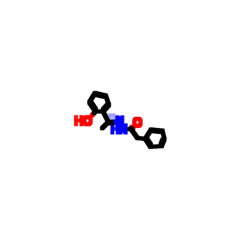 C/C(=N\NC(=O)Cc1ccccc1)c1ccccc1O